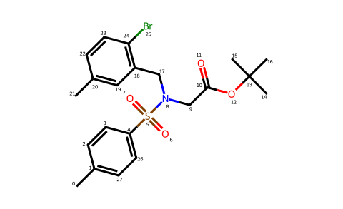 Cc1ccc(S(=O)(=O)N(CC(=O)OC(C)(C)C)Cc2cc(C)ccc2Br)cc1